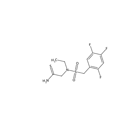 CCN(CC(N)=S)S(=O)(=O)Cc1cc(F)c(F)cc1F